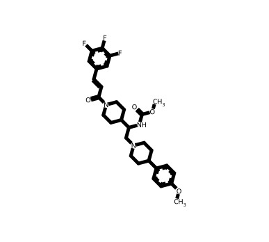 COC(=O)NC(CN1CCC(c2ccc(OC)cc2)CC1)C1CCN(C(=O)C=Cc2cc(F)c(F)c(F)c2)CC1